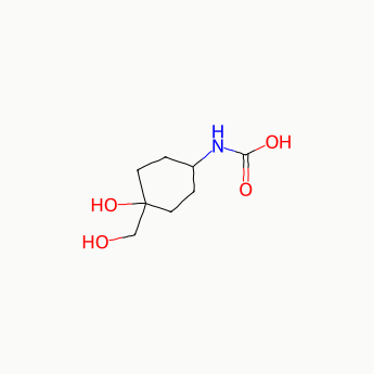 O=C(O)NC1CCC(O)(CO)CC1